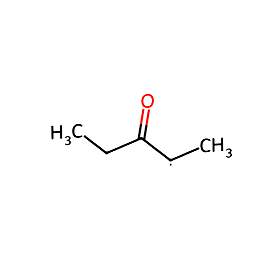 C[CH]C(=O)CC